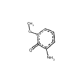 COn1cccc(N)c1=O